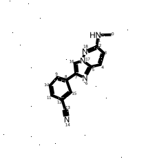 CNc1ccc2nc(-c3cccc(C#N)c3)cn2n1